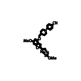 COc1cc(OCC2CCN(c3ccc(C#N)cc3)CC2)c2cc(-c3cn4nc(OC)sc4n3)oc2c1